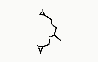 CC(COCC1CS1)OCC1CS1